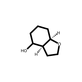 OC1CCC[C@H]2OCC[C@@H]12